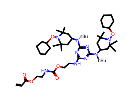 C=CC(=O)OCCNC(=O)OCCNc1nc(N(CCCC)C2CC(C)(C)N(OC3CCCCC3)C(C)(C)C2)nc(N(CCCC)C2CC(C)(C)N(OC3CCCCC3)C(C)(C)C2)n1